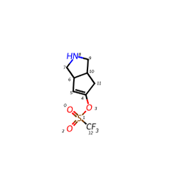 O=S(=O)(OC1=CC2CNCC2C1)C(F)(F)F